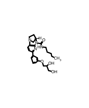 CCCCCNC(=O)N1c2nc(-c3cccc(OCC(O)CO)c3)ccc2N2CC[C@H]1C2